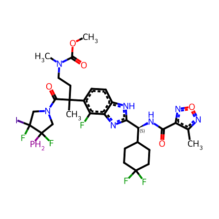 COC(=O)N(C)CCC(C)(C(=O)N1CC(F)(P)C(F)(I)C1)c1ccc2[nH]c([C@@H](NC(=O)c3nonc3C)C3CCC(F)(F)CC3)nc2c1F